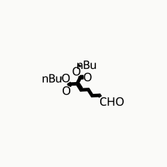 CCCCOC(=O)C(=CCCCC=O)C(=O)OCCCC